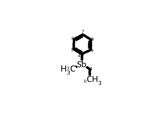 C[CH2][Sb]([CH3])[c]1ccccc1